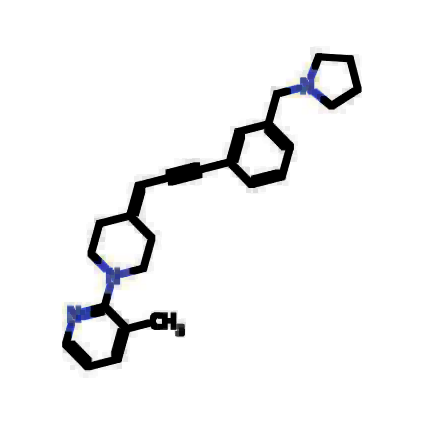 Cc1cccnc1N1CCC(=CC#Cc2cccc(CN3CCCC3)c2)CC1